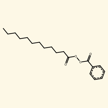 CCCCCCCCCCCC(=O)OOC(=O)c1ccccc1